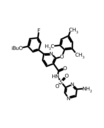 Cc1cc(C)c(Oc2nc(-c3cc(F)cc(OCC(C)C)c3)ccc2C(=O)NS(=O)(=O)c2cncc(N)n2)c(C)c1